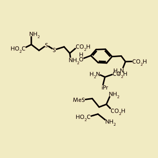 CC(C)C(N)C(=O)O.CSCCC(N)C(=O)O.NC(CSSCC(N)C(=O)O)C(=O)O.NC(Cc1ccc(O)cc1)C(=O)O.NCC(=O)O